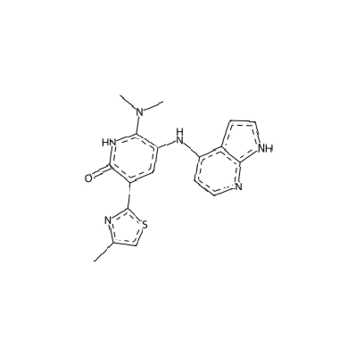 Cc1csc(-c2cc(Nc3ccnc4[nH]ccc34)c(N(C)C)[nH]c2=O)n1